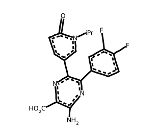 CC(C)n1cc(-c2nc(C(=O)O)c(N)nc2-c2ccc(F)c(F)c2)ccc1=O